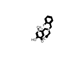 C#CCN(Cc1ccccc1F)Cc1cc(=O)c(O)cn1C